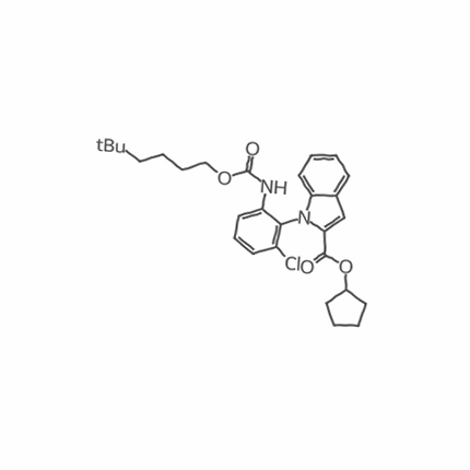 CC(C)(C)CCCCOC(=O)Nc1cccc(Cl)c1-n1c(C(=O)OC2CCCC2)cc2ccccc21